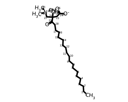 CCCCCCCCCCCCCCCCCCCC(=O)C(O)(CC(=O)[O-])C[N+](C)(C)C